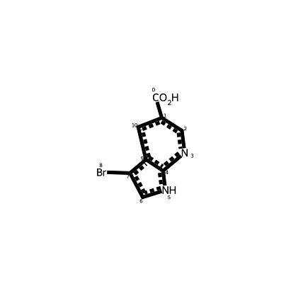 O=C(O)c1cnc2[nH]cc(Br)c2c1